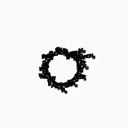 C/C=C/C[C@@H](C)[C@@H](O)[C@H]1C(=O)N[C@@H](CC)CN(C)CC(=O)N(C)[C@@H](CC(C)C)C(=O)NC(C(C)C)C(=O)N(C)[C@@H](CC(C)C)C(=O)N[C@@H](C)C(=O)N[C@H](C)C(=O)N(C)[C@@H](CC(C)C)C(=O)N(C)[C@@H](CC(C)C)C(=O)N(C)[C@@H](C(C)C)C(=O)N1C